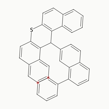 c1ccc(-c2cccc3ccc(C4c5c(ccc6ccccc56)Sc5ccc6ccccc6c54)cc23)cc1